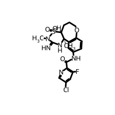 CN1C(=N)N[C@]2(C)c3cc(NC(=O)c4ncc(Cl)cc4F)ccc3OCCC[C@@H]2S1(=O)=O